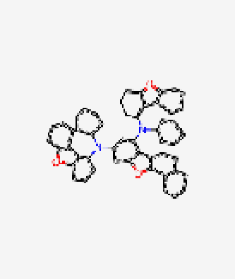 C1=c2oc3ccccc3c2=C(N(c2ccccc2)c2cc(N(c3ccccc3)c3cccc4oc5ccccc5c34)cc3oc4c5ccccc5ccc4c23)CC1